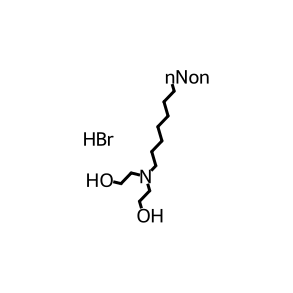 Br.CCCCCCCCCCCCCCCCN(CCO)CCO